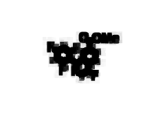 COC(=O)c1ccc2c(F)cnc(-c3c(F)cc(F)cc3F)c2c1